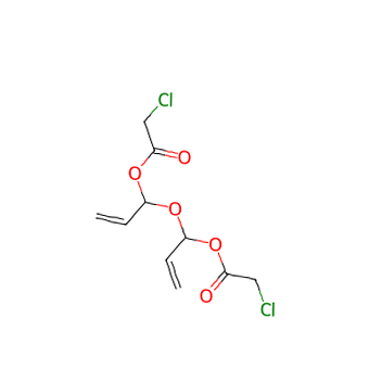 C=CC(OC(=O)CCl)OC(C=C)OC(=O)CCl